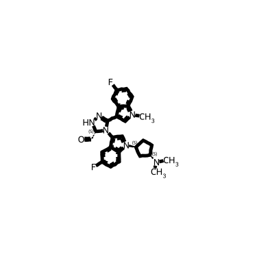 CN(C)[C@H]1CC[C@H](n2cc(N3C(c4cn(C)c5ccc(F)cc45)=NN[C@H]3C=O)c3cc(F)ccc32)C1